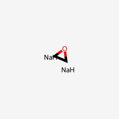 C1CO1.[NaH].[NaH]